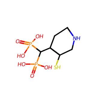 O=P(O)(O)C(C1CCNCC1S)P(=O)(O)O